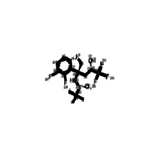 CC(C)(C)[S@@+]([O-])N[C@@](CF)(C[C@H](O)C(F)(F)F)c1cccc(F)c1F